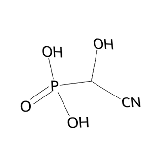 N#CC(O)P(=O)(O)O